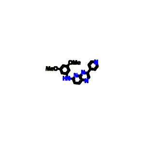 COc1cc(Nc2ccc3ncc(-c4ccncc4)nc3n2)cc(OC)c1